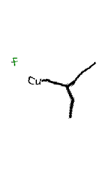 C[CH](C)[Cu].[F]